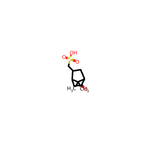 CC1(C)C2CC(CS(=O)(=O)O)C1CC2=O